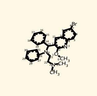 COc1nc2ccc(Br)cc2cc1C(c1ccccc1)N(CCN(C)C)c1ccccc1